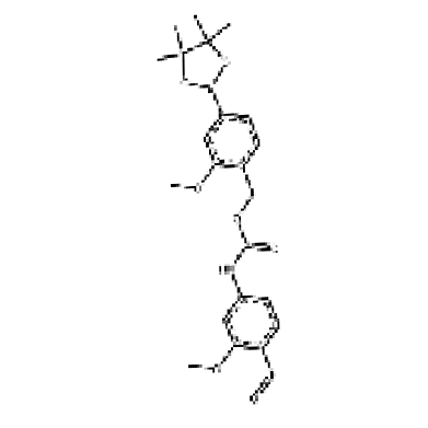 COc1cc(NC(=O)OCc2ccc(B3OC(C)(C)C(C)(C)O3)cc2OC)ccc1C=O